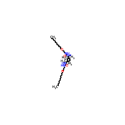 CCCCCCCCCCCCOCCCNC(=O)NC(C)(C)c1cccc(C(C)(C)NC(=O)NCCCOCCCCCCCCCCCC)c1